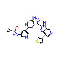 O=C(Nc1cncc(-c2cc3c(-c4nc5c(-c6ccsc6)cncc5[nH]4)n[nH]c3cn2)c1)C1CC1